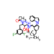 CC(=O)NC(Cc1cc(F)cc(F)c1)C(O)CNCc1cc(CC(C)(C)C)ccc1-n1ccc2ccccc21